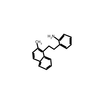 Cc1ccc2ccccc2c1CCc1ccccc1N